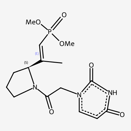 COP(=O)(/C=C(\C)[C@@H]1CCCN1C(=O)Cn1ccc(=O)[nH]c1=O)OC